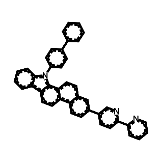 c1ccc(-c2ccc(-n3c4ccccc4c4ccc5c6ccc(-c7ccc(-c8ccccn8)nc7)cc6ccc5c43)cc2)cc1